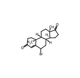 C[C@]12CCC(=O)C=C1C(Br)C[C@@H]1[C@H]2CC[C@]2(C)C(=O)CC[C@@H]12